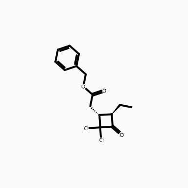 CC[C@H]1C(=O)C(Cl)(Cl)[C@@H]1CC(=O)OCc1ccccc1